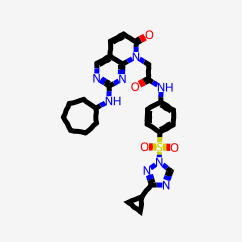 O=C(Cn1c(=O)ccc2cnc(NC3CCCCCC3)nc21)Nc1ccc(S(=O)(=O)n2cnc(C3CC3)n2)cc1